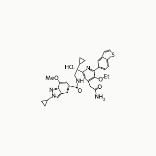 CCOc1c(CC(N)=O)cc([C@@](O)(CNC(=O)c2cc(OC)c3nn(C4CC4)cc3c2)C2CC2)nc1-c1ccc2sccc2c1